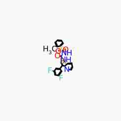 Cc1ccccc1S(=O)(=O)NC(=O)NCC(c1cc(F)cc(F)c1)c1ncccc1Br